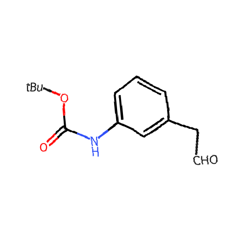 CC(C)(C)OC(=O)Nc1cccc(CC=O)c1